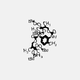 Cc1ccc(NC(=O)OCC(C)C(C)(OOC(C)(C)C)OOC(C)(C)C)cc1NC(=O)OCC(C)C(C)(OOC(C)(C)C)OOC(C)(C)C